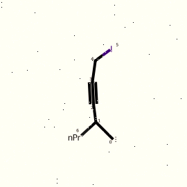 [C]C(C#CCI)CCC